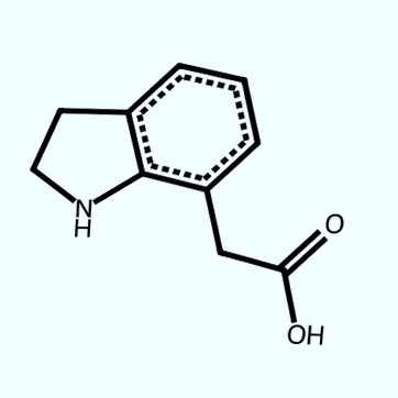 O=C(O)Cc1cccc2c1NCC2